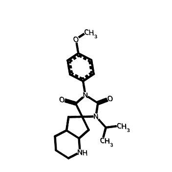 COc1ccc(N2C(=O)N(C(C)C)C3(CC4CCCNC4C3)C2=O)cc1